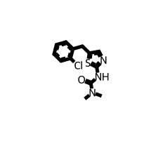 CN(C)C(=O)Nc1ncc(Cc2ccccc2Cl)s1